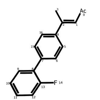 CC(=O)/C=C(\C)c1ccc(-c2ccccc2F)cc1